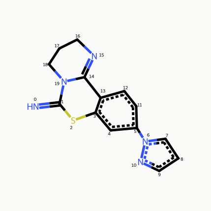 N=C1Sc2cc(-n3cccn3)ccc2C2=NCCCN12